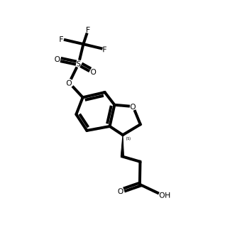 O=C(O)CC[C@@H]1COc2cc(OS(=O)(=O)C(F)(F)F)ccc21